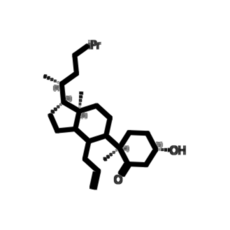 C=CCC1C([C@@]2(C)CC[C@H](O)CC2=O)CC[C@@]2(C)C1CC[C@@H]2[C@H](C)CCC(C)C